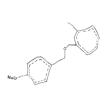 [CH2]c1ccccc1OCc1ccc(OC)cc1